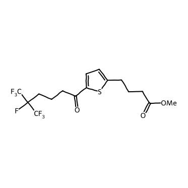 COC(=O)CCCc1ccc(C(=O)CCCC(F)(C(F)(F)F)C(F)(F)F)s1